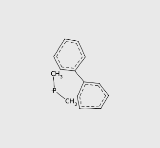 C[P]C.c1ccc(-c2ccccc2)cc1